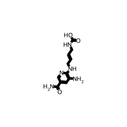 NC(=O)c1cnc(NCC=CCNC(=O)O)c(N)c1